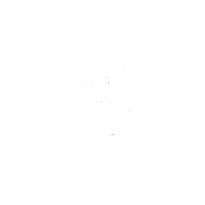 COc1cccc(OC)c1-n1c(NS(=O)(=O)[C@@H]2CCCO[C@H]2c2ncc(C)cn2)nnc1-c1cncc(C)c1